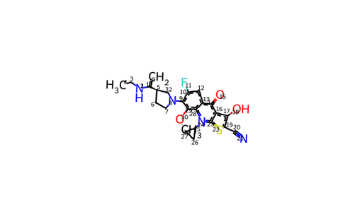 C=C(NCC)[C@@H]1CCN(c2c(F)cc3c(=O)c4c(O)c(C#N)sc4n(C4CC4)c3c2OC)C1